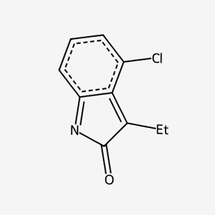 CCC1=c2c(Cl)cccc2=NC1=O